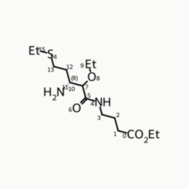 CCOC(=O)CCCNC(=O)C(OCC)[C@H](N)CCSCC